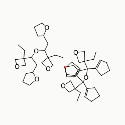 CCC1(C(CC2CCCO2)OC(CC2CCCO2)C2(CC)COC2)COC1.CCC1(C(OC(C2=CCCC2)(C2=CCCC2)C2(CC)COC2)(C2=CCCC2)C2=CCCC2)COC1